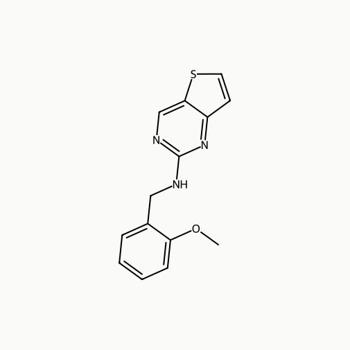 COc1ccccc1CNc1ncc2sccc2n1